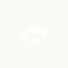 O=C([O-])C1(N2CC[C@@H](Oc3cccc(Cl)c3)C2)CCC(F)(F)CC1.[Li+]